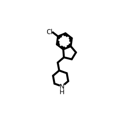 Clc1ccc2c(c1)C(CC1CCNCC1)CC2